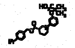 CC(C)c1ccc(COC(=O)[C@@H]2CCCN(c3cccc(OC(C)(C)C(=O)O)c3)C2)cc1